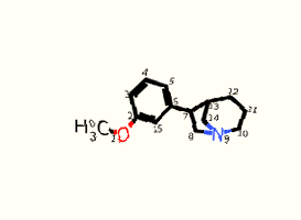 COc1cccc(C2CN3CCCC2C3)c1